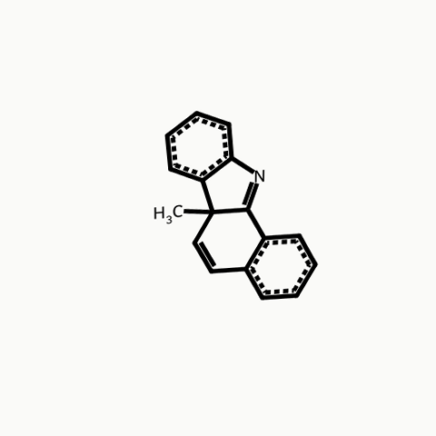 CC12C=Cc3ccccc3C1=Nc1ccccc12